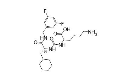 NCCCCC(NC(=O)N[C@H](CC1CCCCC1)C(=O)NCc1cc(F)cc(F)c1)C(=O)O